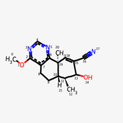 COc1ncnc2c1CC[C@H]1[C@H](C)C(O)C(C#N)=C[C@]21C